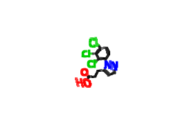 O=C(O)CCc1ccnn1-c1ccc(Cl)c(Cl)c1Cl